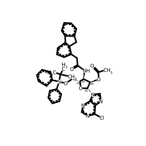 CC(=O)O[C@@H]1[C@H](NC(=O)Cc2cccc3c2Cc2ccccc2-3)[C@@H](CO[Si](c2ccccc2)(c2ccccc2)C(C)(C)C)O[C@H]1n1cnc2c(Cl)ncnc21